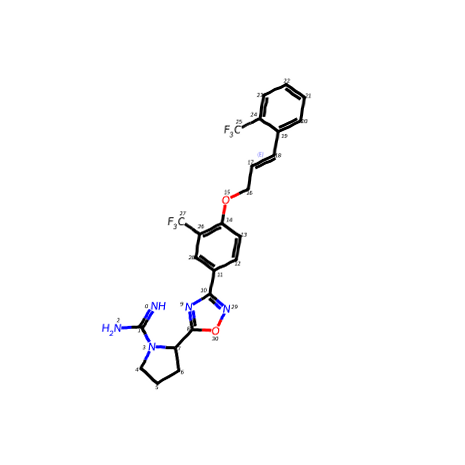 N=C(N)N1CCCC1c1nc(-c2ccc(OC/C=C/c3ccccc3C(F)(F)F)c(C(F)(F)F)c2)no1